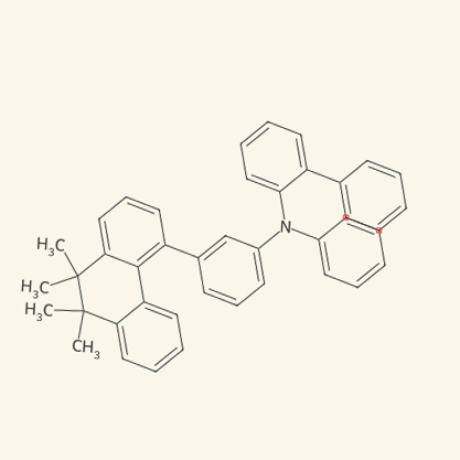 CC1(C)c2ccccc2-c2c(-c3cccc(N(c4ccccc4)c4ccccc4-c4ccccc4)c3)cccc2C1(C)C